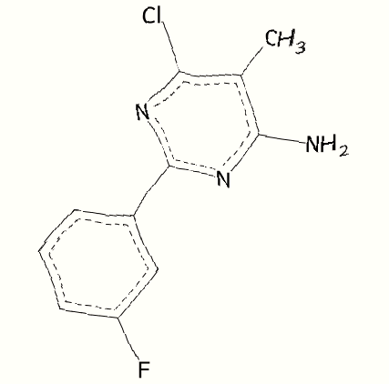 Cc1c(N)nc(-c2cccc(F)c2)nc1Cl